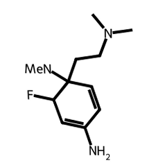 CNC1(CCN(C)C)C=CC(N)=CC1F